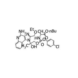 CCCCOC(=O)[C@H](C)N[P@](=O)(OC[C@](C)(O)n1c(COCC)nc2c(N)nc3ccccc3c21)Oc1ccc(Cl)cc1